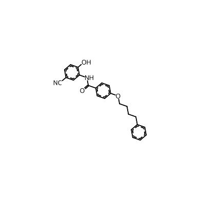 N#Cc1ccc(O)c(NC(=O)c2ccc(OCCCCc3ccccc3)cc2)c1